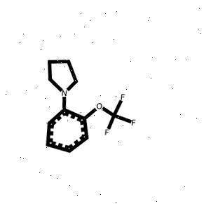 FC(F)(F)Oc1ccc[c]c1N1CCCC1